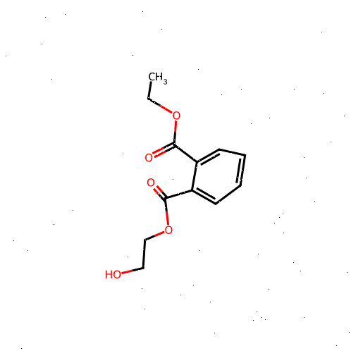 CCOC(=O)c1ccccc1C(=O)OCCO